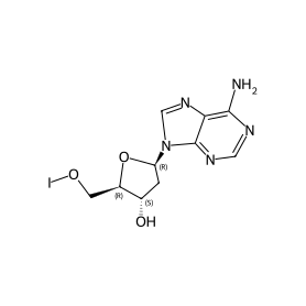 Nc1ncnc2c1ncn2[C@H]1C[C@H](O)[C@@H](COI)O1